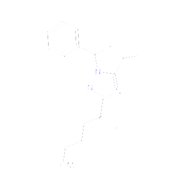 COCCCC(=O)c1nc2n(n1)C(c1ccccc1)CC2F